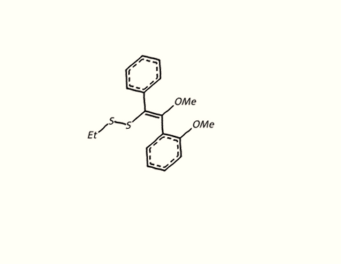 CCSSC(=C(OC)c1ccccc1OC)c1ccccc1